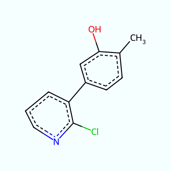 Cc1ccc(-c2cccnc2Cl)cc1O